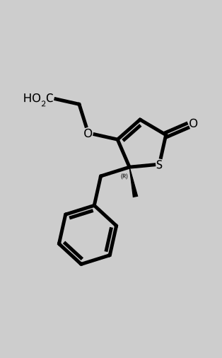 C[C@]1(Cc2ccccc2)SC(=O)C=C1OCC(=O)O